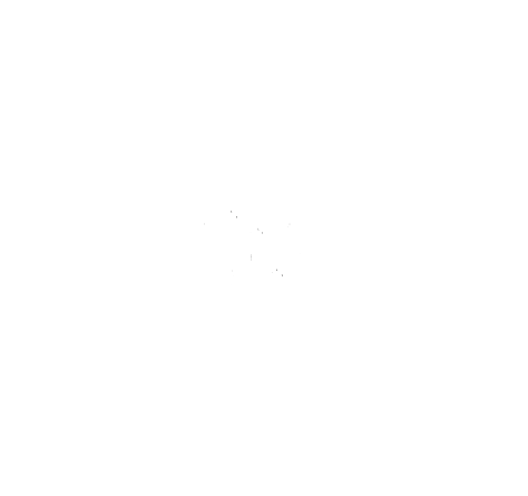 C/C=C(\C=C/N(C)C)c1ncc(C)[nH]1